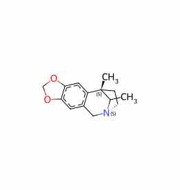 CC1[N@]2CC[C@@]1(C)c1cc3c(cc1C2)OCO3